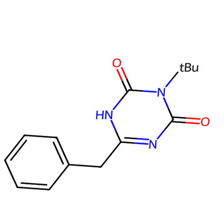 CC(C)(C)n1c(=O)nc(Cc2ccccc2)[nH]c1=O